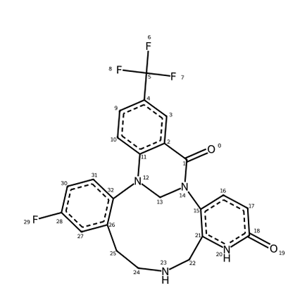 O=C1c2cc(C(F)(F)F)ccc2N2CN1c1ccc(=O)[nH]c1CNCCc1cc(F)ccc12